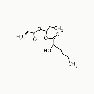 C=CC(=O)OC(CC)OC(=O)C(O)CCCC